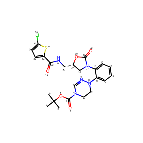 CC(C)(C)OC(=O)N1C=NN(c2ccccc2N2C[C@H](CNC(=O)c3ccc(Cl)s3)OC2=O)CC1